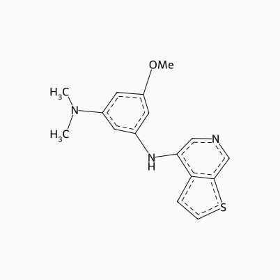 COc1cc(Nc2cncc3sccc23)cc(N(C)C)c1